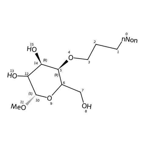 CCCCCCCCCCCCO[C@H]1C(CO)O[C@H](OC)C(O)[C@H]1O